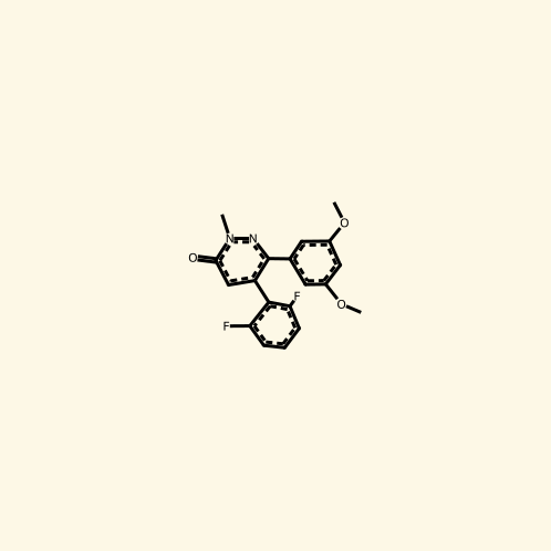 COc1cc(OC)cc(-c2nn(C)c(=O)cc2-c2c(F)cccc2F)c1